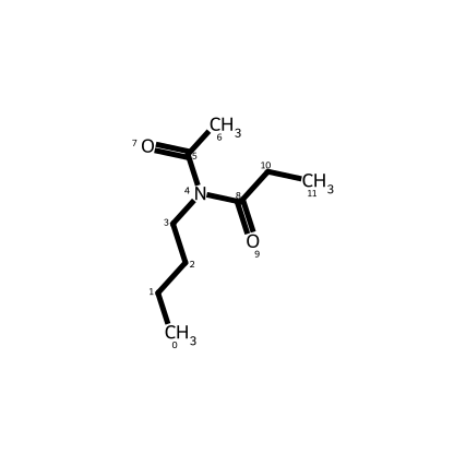 CCCCN(C(C)=O)C(=O)CC